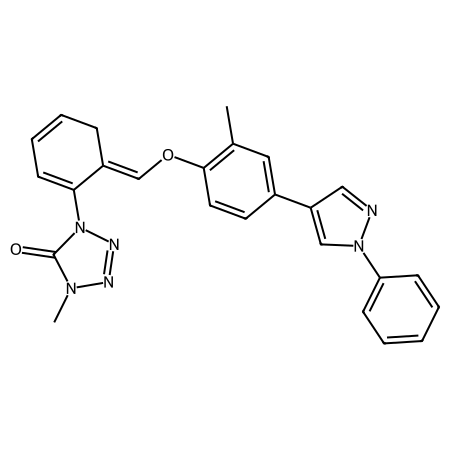 Cc1cc(-c2cnn(-c3ccccc3)c2)ccc1OC=C1CC=CC=C1n1nnn(C)c1=O